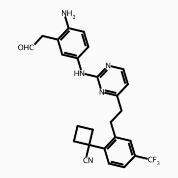 N#CC1(c2ccc(C(F)(F)F)cc2CCc2ccnc(Nc3ccc(N)c(CC=O)c3)n2)CCC1